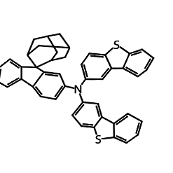 c1ccc2c(c1)-c1ccc(N(c3ccc4sc5ccccc5c4c3)c3ccc4sc5ccccc5c4c3)cc1C21C2CC3CC(C2)CC1C3